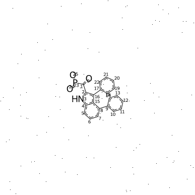 O=C(c1[nH]c2cccc(-c3ccccc3)c2c1-c1ccccc1)P(=O)=O